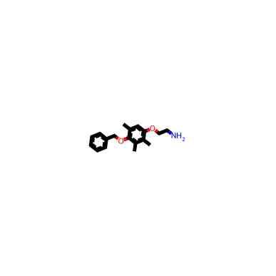 Cc1cc(OCCN)c(C)c(C)c1OCc1ccccc1